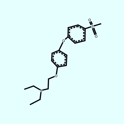 CCN(CC)CCOc1ccc(Oc2ccc(S(C)(=O)=O)cc2)cc1